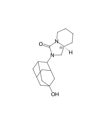 O=C1N(C2C3CC4CC2CC(O)(C4)C3)C[C@@H]2CCCCN12